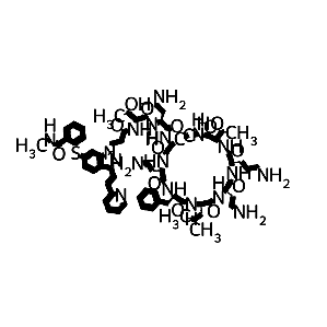 CNC(=O)c1ccccc1Sc1ccc2c(/C=C/c3ccccn3)nn(CCC(=O)N[C@H](C(=O)N[C@@H](CCN)C(=O)N[C@H]3CCNC(=O)[C@H]([C@@H](C)O)NC(=O)[C@H](CCCN)NC(=O)[C@H](CCN)NC(=O)[C@H](CC(C)C)NC(=O)[C@@H](Cc4ccccc4)NC(=O)[C@H](CCN)NC3=O)[C@H](C)O)c2c1